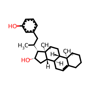 CC(Cc1cccc(O)c1)[C@H]1[C@@H](O)C[C@H]2[C@@H]3CC=C4CCCC[C@]4(C)[C@H]3CC[C@@]21C